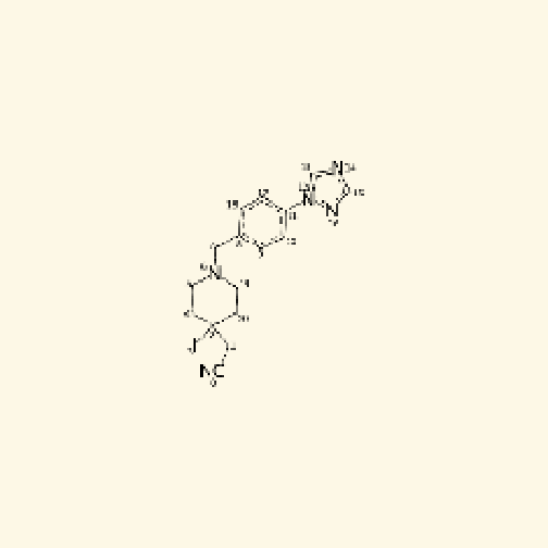 N#CCC1(I)CCN(Cc2ccc(-n3cncn3)cc2)CC1